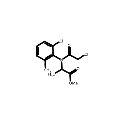 COC(=O)C(C)N(C(=O)CCl)c1c(C)cccc1Cl